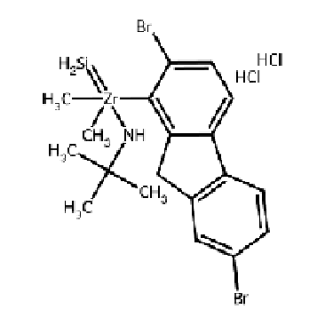 CC(C)(C)[NH][Zr]([CH3])([CH3])(=[SiH2])[c]1c(Br)ccc2c1Cc1cc(Br)ccc1-2.Cl.Cl